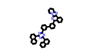 c1cc(-c2cccc(-c3nc4c(nc5ccccn54)c4ccccc34)c2)cc(-c2nc(-c3cccc4ccccc34)nc(-c3cccc4ccccc34)n2)c1